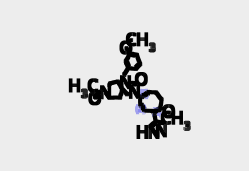 CO/C1=C(c2cn[nH]c2)/C=C\C(N2CC3(CCN(C(C)=O)CC3)N(Cc3cccc(OC)c3)C2=O)=C/CC1